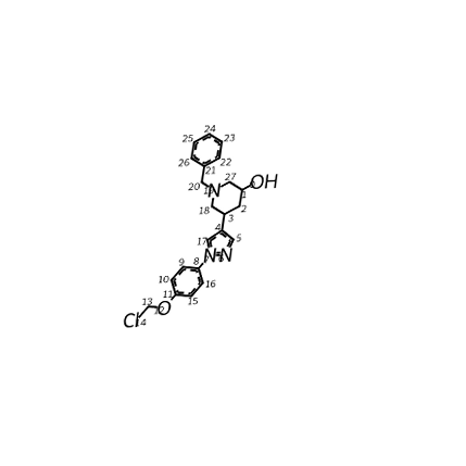 OC1CC(c2cnn(-c3ccc(OCCl)cc3)c2)CN(Cc2ccccc2)C1